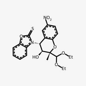 CCOC(OCC)[C@@]1(C)Oc2ccc([N+](=O)[O-])cc2[C@@H](n2c(=S)oc3ccccc32)[C@@H]1O